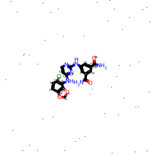 NC(=O)c1cc(Nc2nccc(Nc3c(Cl)ccc4c3OCO4)n2)cc(C(N)=O)c1